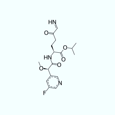 CO[C@@H](C(=O)N[C@@H](CCC(=O)C=N)C(=O)OC(C)C)c1cncc(F)c1